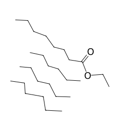 CCCCCC.CCCCCC.CCCCCC.CCCCCCCC(=O)OCC